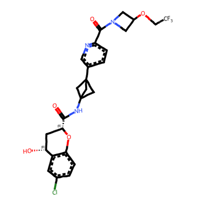 O=C(NC12CC(c3ccc(C(=O)N4CC(OCC(F)(F)F)C4)nc3)(C1)C2)[C@H]1C[C@@H](O)c2cc(Cl)ccc2O1